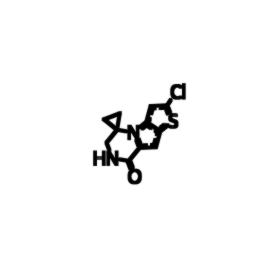 O=C1NCC2(CC2)n2c1cc1sc(Cl)cc12